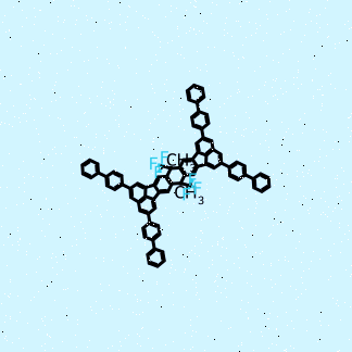 CC1(C(F)(F)F)c2cc3c(cc2C(C)(C(F)(F)F)c2cc4c(cc21)-c1cc(-c2ccc(-c5ccccc5)cc2)cc2cc(-c5ccc(-c6ccccc6)cc5)cc-4c12)-c1cc(-c2ccc(-c4ccccc4)cc2)cc2cc(-c4ccc(-c5ccccc5)cc4)cc-3c12